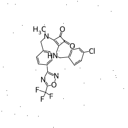 CN(Cc1ccc(-c2noc(C(F)(F)F)n2)cc1)c1c(NCc2ccc(Cl)cc2)c(=O)c1=O